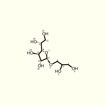 OCC(O)CO[C@@H]1O[C@@H]([C@H](O)CO)[C@H](O)[C@H]1O